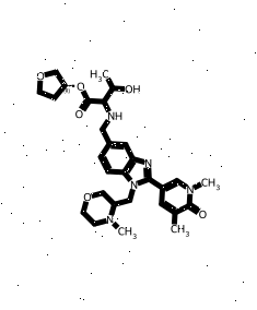 Cc1cc(-c2nc3cc(CNC(C(=O)O[C@@H]4CCOC4)C(C)O)ccc3n2CC2COCCN2C)cn(C)c1=O